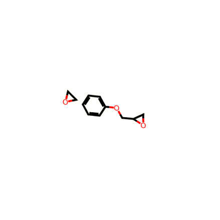 C1CO1.c1ccc(OCC2CO2)cc1